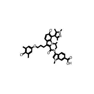 Cc1cc(OCCCc2c3n(c4c(-c5c(C)nn(C)c5C)c(Cl)ccc24)C(C)CN(c2cn(C)c4cc(C(=O)O)ccc24)C3=O)cc(C)c1Cl